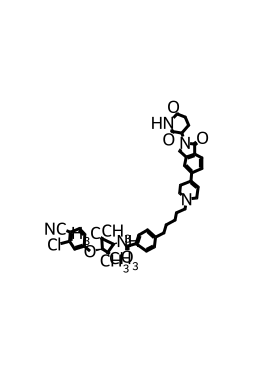 CC1(C)[C@H](NC(=O)c2ccc(CCCCCN3CC=C(c4ccc5c(c4)CN(C4CCC(=O)NC4=O)C5=O)CC3)cc2)C(C)(C)[C@H]1Oc1ccc(C#N)c(Cl)c1